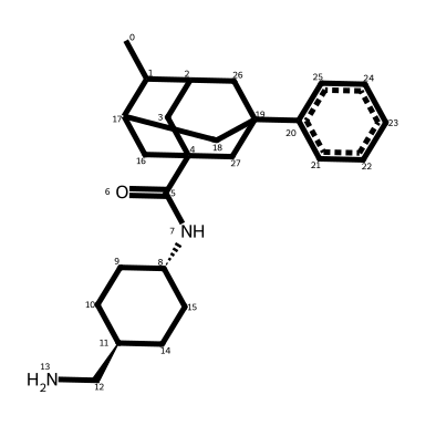 CC1C2CC3(C(=O)N[C@H]4CC[C@H](CN)CC4)CC1CC(c1ccccc1)(C2)C3